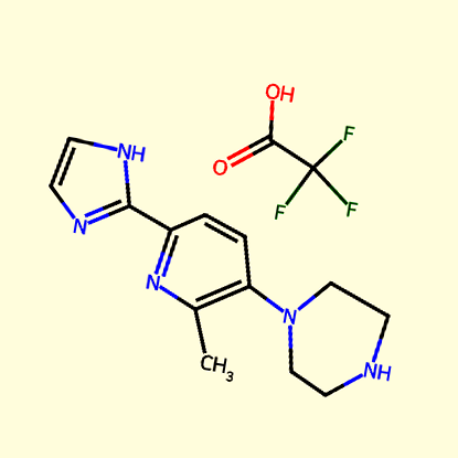 Cc1nc(-c2ncc[nH]2)ccc1N1CCNCC1.O=C(O)C(F)(F)F